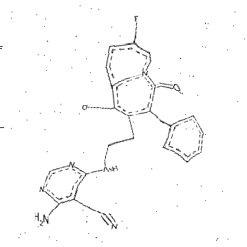 N#Cc1c(N)ncnc1[AsH]CCc1c(-c2ccccc2)c(=O)n2cc(F)ccc2c1Cl